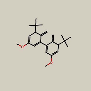 C=C1C(C2=CC(OC)=CC(C(C)(C)C)C2=C)=CC(OC)=CC1C(C)(C)C